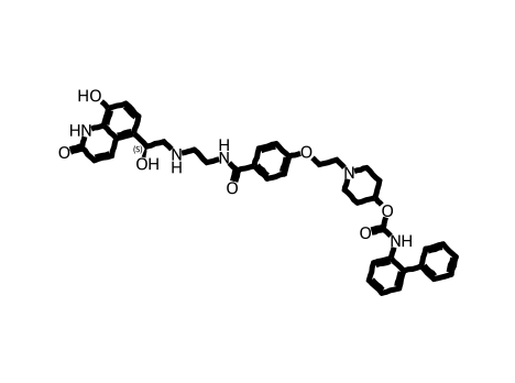 O=C(Nc1ccccc1-c1ccccc1)OC1CCN(CCOc2ccc(C(=O)NCCNC[C@@H](O)c3ccc(O)c4[nH]c(=O)ccc34)cc2)CC1